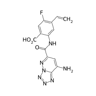 C=Cc1cc(NC(=O)c2cc(N)c3nnnn3n2)c(C(=O)O)cc1F